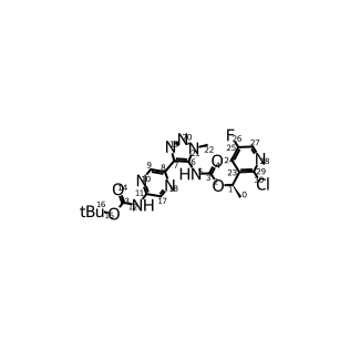 C[C@@H](OC(=O)Nc1c(-c2cnc(NC(=O)OC(C)(C)C)cn2)nnn1C)c1cc(F)cnc1Cl